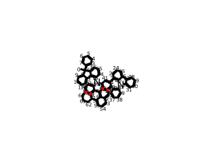 CC1(c2ccccc2)c2ccccc2-c2c(N(c3cccc(-c4cccc5c6ccccc6n(-c6ccccc6)c45)c3)c3ccccc3-c3cccc4cccc(C5CCCCC5)c34)cccc21